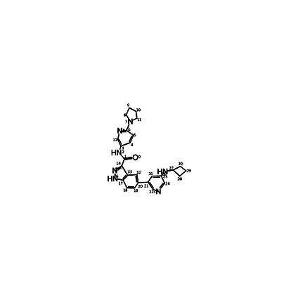 O=C(Nc1ccc(N2CCCC2)nc1)c1n[nH]c2ccc(-c3cncc(NC4CCC4)c3)cc12